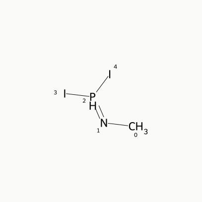 CN=[PH](I)I